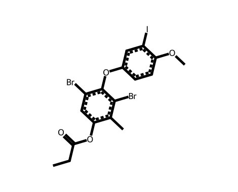 CCC(=O)Oc1cc(Br)c(Oc2ccc(OC)c(I)c2)c(Br)c1C